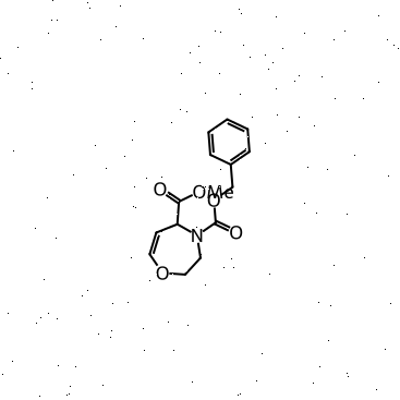 COC(=O)C1C=COCCN1C(=O)OCc1ccccc1